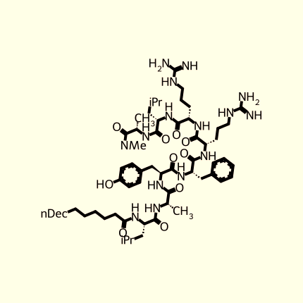 CCCCCCCCCCCCCCCC(=O)N[C@@H](CC(C)C)C(=O)N[C@@H](C)C(=O)N[C@@H](Cc1ccc(O)cc1)C(=O)N[C@@H](Cc1ccccc1)C(=O)N[C@@H](CCCNC(=N)N)C(=O)N[C@@H](CCCNC(=N)N)C(=O)N[C@@H](CC(C)C)C(=O)N[C@@H](C)C(=O)NC